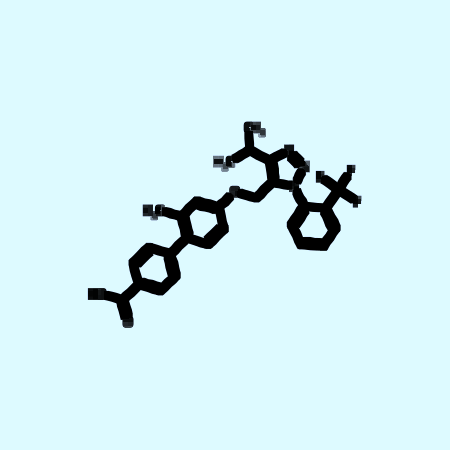 Cc1cc(OCc2c(C(C)C)nnn2-c2ccccc2C(F)(F)F)ccc1-c1ccc(C(=O)O)cc1